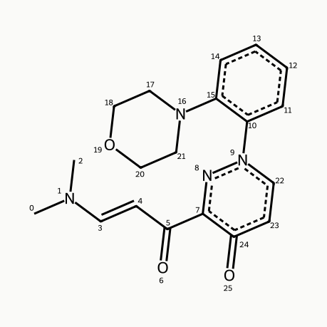 CN(C)C=CC(=O)c1nn(-c2ccccc2N2CCOCC2)ccc1=O